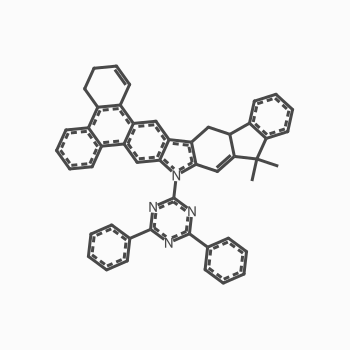 CC1(C)C2=Cc3c(c4cc5c6c(c7ccccc7c5cc4n3-c3nc(-c4ccccc4)nc(-c4ccccc4)n3)CCC=C6)CC2c2ccccc21